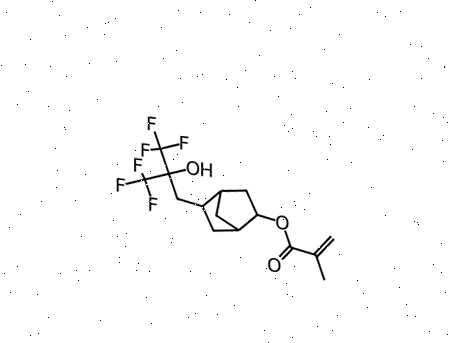 C=C(C)C(=O)OC1CC2CC1CC2CC(O)(C(F)(F)F)C(F)(F)F